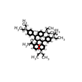 CCN(CC)c1ccc(C(=CC(C=C(c2ccc(N(CC)CC)cc2)c2ccc(N(CC)CC)cc2)c2ccccc2C(N)=O)c2ccc(N(CC)CC)cc2)cc1